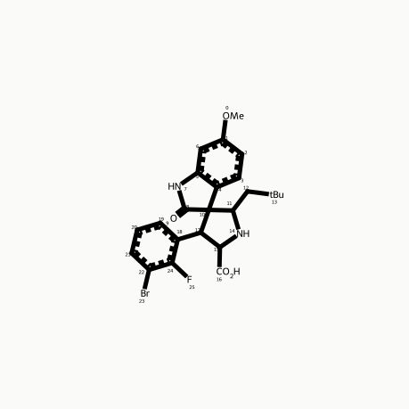 COc1ccc2c(c1)NC(=O)C21C(CC(C)(C)C)NC(C(=O)O)C1c1cccc(Br)c1F